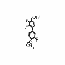 CCOc1ccc(-c2ccc(CO)c(F)c2F)cc1F